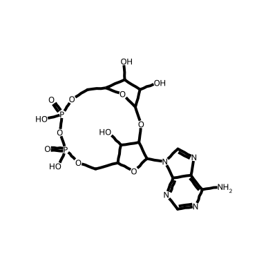 Nc1ncnc2c1ncn2C1OC2COP(=O)(O)OP(=O)(O)OCC3OC(OC1C2O)C(O)C3O